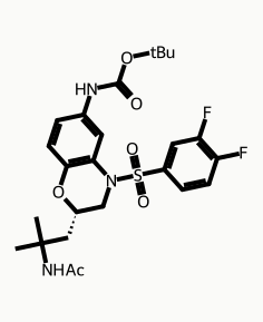 CC(=O)NC(C)(C)C[C@H]1CN(S(=O)(=O)c2ccc(F)c(F)c2)c2cc(NC(=O)OC(C)(C)C)ccc2O1